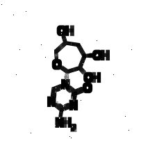 Nc1ncn([C@@H]2OCC(O)C[C@@H](O)C2O)c(=O)n1